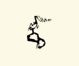 COCC1=NN=C(c2ccc3ncccc3c2)[N]1